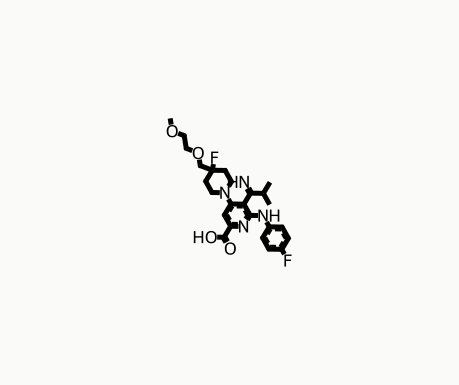 COCCOCC1(F)CCN(c2cc(C(=O)O)nc(Nc3ccc(F)cc3)c2C(=N)C(C)C)CC1